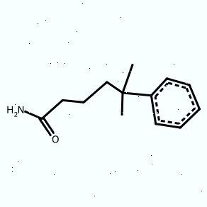 CC(C)(CCCC(N)=O)c1ccccc1